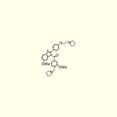 COc1ccc2sc(-c3ccc(OCCN4CCCC4)cc3)c(C(=O)c3ccc(CN4CCCC4)c(OC)c3)c2c1